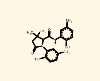 Cc1ccc(O)c(NC(=O)C2N(c3cc(C)ccc3O)C(=O)CC2(C)C)c1